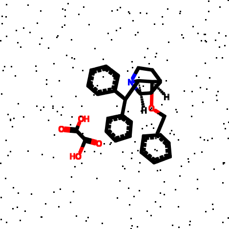 O=C(O)C(=O)O.c1ccc(CO[C@@H]2C3CCN(CC3)[C@@H]2C(c2ccccc2)c2ccccc2)cc1